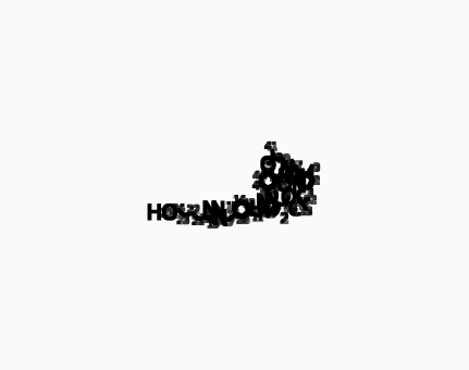 Cc1ccc(C(OCc2cn(Cc3cccc(Cn4cc(CCCCO)nn4)c3)nn2)C(C)(C)C(=O)O)cc1CN1CC(C)Oc2ccccc2S1(O)O